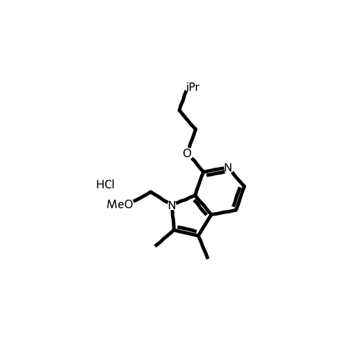 COCn1c(C)c(C)c2ccnc(OCCC(C)C)c21.Cl